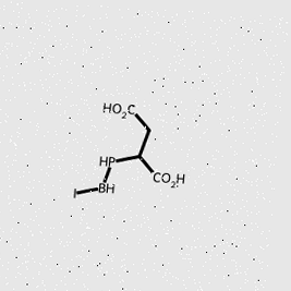 O=C(O)CC(PBI)C(=O)O